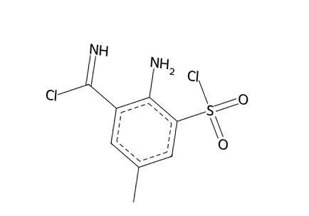 Cc1cc(C(=N)Cl)c(N)c(S(=O)(=O)Cl)c1